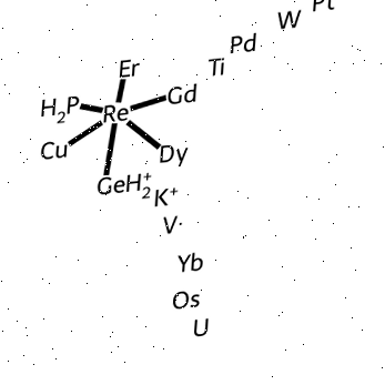 [K+].[Os].[PH2][Re]([Cu])([GeH2+])([Gd])([Dy])[Er].[Pd].[Pt].[Ti].[U].[V].[W].[Yb]